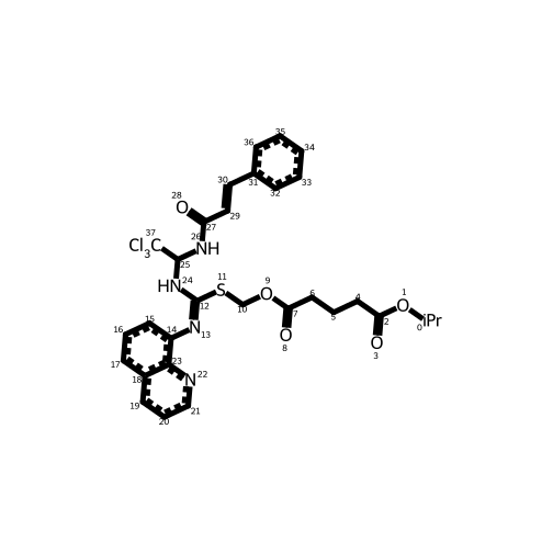 CC(C)OC(=O)CCCC(=O)OCS/C(=N/c1cccc2cccnc12)NC(NC(=O)/C=C/c1ccccc1)C(Cl)(Cl)Cl